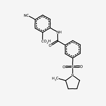 CC1CCCN1S(=O)(=O)c1cccc(C(=O)Nc2ccc(C#N)cc2C(=O)O)c1